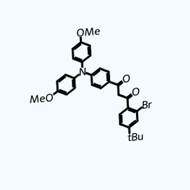 COc1ccc(N(c2ccc(OC)cc2)c2ccc(C(=O)CC(=O)c3ccc(C(C)(C)C)cc3Br)cc2)cc1